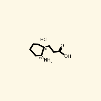 Cl.N[C@@H]1CCCC[C@H]1CCC(=O)O